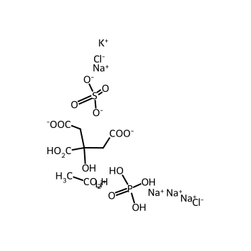 CC(=O)O.O=C([O-])CC(O)(CC(=O)[O-])C(=O)O.O=P(O)(O)O.O=S(=O)([O-])[O-].[Cl-].[Cl-].[K+].[Li+].[Na+].[Na+].[Na+].[Na+]